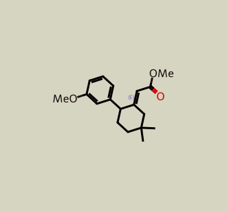 COC(=O)/C=C1\CC(C)(C)CCC1c1cccc(OC)c1